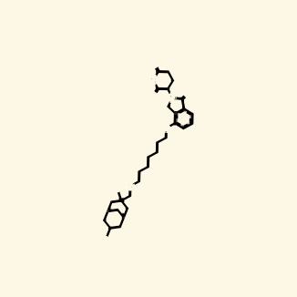 CC1CC2CC(C1)CC(C)(CNCCCCCCCSc1cccc3c1CN(C1CCC(=O)NC1=O)C3=O)C2